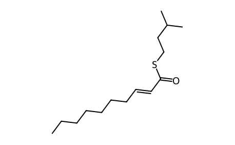 CCCCCCC/C=C/C(=O)SCCC(C)C